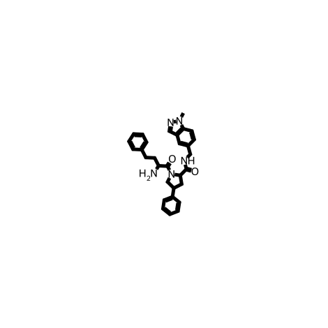 Cn1ncc2cc(CNC(=O)C3CC(c4ccccc4)CN3C(=O)C(N)CCc3ccccc3)ccc21